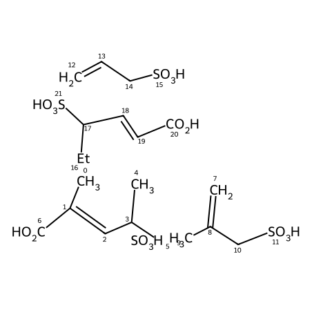 C/C(=C\C(C)S(=O)(=O)O)C(=O)O.C=C(C)CS(=O)(=O)O.C=CCS(=O)(=O)O.CCC(/C=C/C(=O)O)S(=O)(=O)O